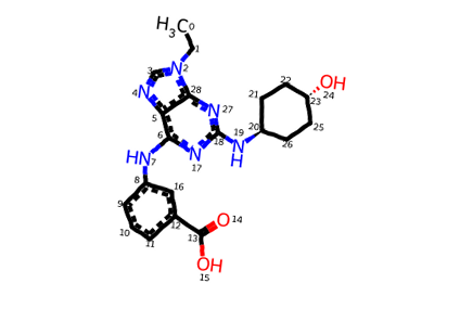 CCn1cnc2c(Nc3cccc(C(=O)O)c3)nc(N[C@H]3CC[C@H](O)CC3)nc21